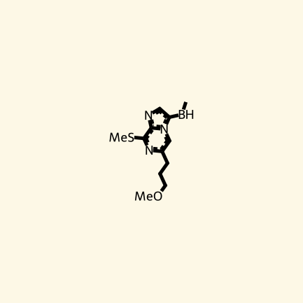 CBc1cnc2c(SC)nc(CCCOC)cn12